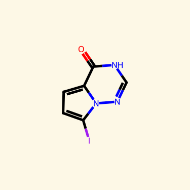 O=c1[nH]cnn2c(I)ccc12